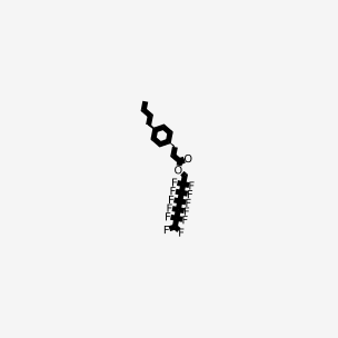 CCCC[C@H]1CC[C@H](CCC(=O)OCC(F)(F)C(F)(F)C(F)(F)C(F)(F)C(F)(F)C(F)F)CC1